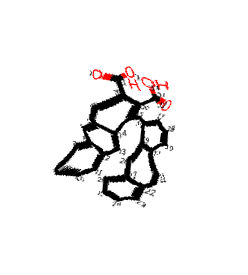 O=C(O)c1cc2cc3ccccc3cc2c(-c2cccc3cc4ccccc4cc23)c1C(=O)O